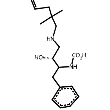 C=CCC(C)(C)CNC[C@@H](O)C(Cc1ccccc1)NC(=O)O